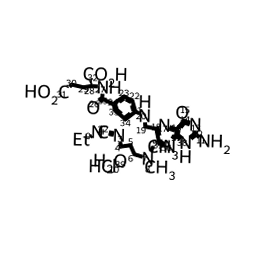 CCN=C=NCCCN(C)C.Cl.Nc1nc(=O)c2nc(CNc3ccc(C(=O)N[C@@H](CCC(=O)O)C(=O)O)cc3)cnc2[nH]1.O